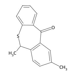 Cc1ccc2c(c1)C(=O)c1ccccc1SC2C